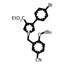 CCOC(=O)c1cn(Cc2cc(C#N)ccc2OC(C)(C)C)cc1-c1ccc(Br)cc1